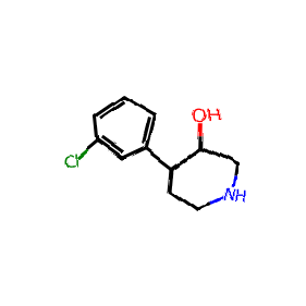 OC1CNCCC1c1cccc(Cl)c1